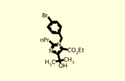 CCCc1nc(C(C)(C)O)c(C(=O)OCC)n1Cc1ccc(Br)cc1